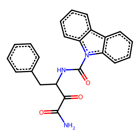 NC(=O)C(=O)C(Cc1ccccc1)NC(=O)n1c2ccccc2c2ccccc21